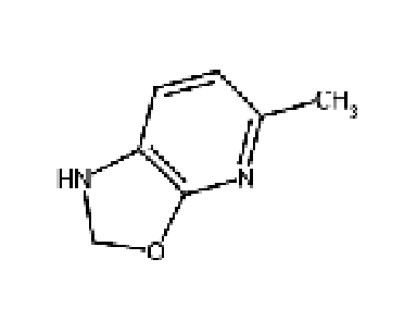 Cc1ccc2c(n1)OCN2